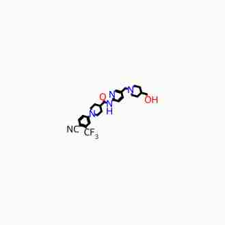 N#Cc1ccc(N2CCC(C(=O)Nc3ccc(CN4CCC(CO)CC4)cn3)CC2)cc1C(F)(F)F